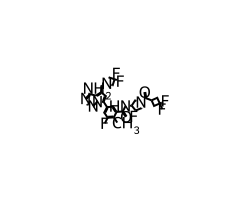 Cc1c(F)cc(-c2cc(CN3CC(F)(F)C3)c3c(N)ncnn23)cc1C(=O)NC1CN(C(=O)C2CC(F)(F)C2)CC1F